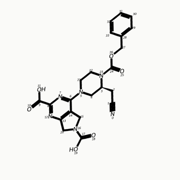 N#CC[C@H]1CN(c2nc(C(=O)O)nc3c2CN(C(=O)O)C3)CCN1C(=O)OCc1ccccc1